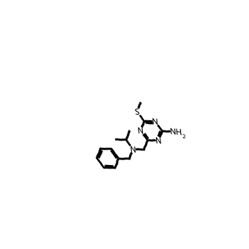 CSc1nc(N)nc(CN(Cc2ccccc2)C(C)C)n1